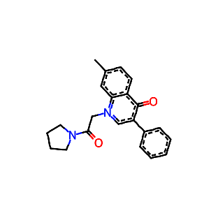 Cc1ccc2c(=O)c(-c3ccccc3)cn(CC(=O)N3CCCC3)c2c1